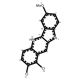 COc1ccc2nc3cc4c(Cl)c(Cl)ccc4[nH]c-3c2c1